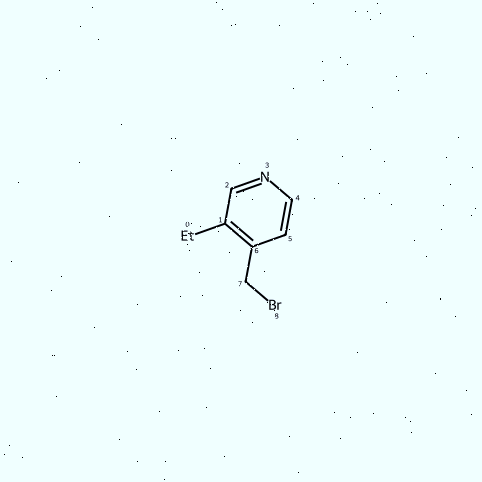 CCc1cnccc1CBr